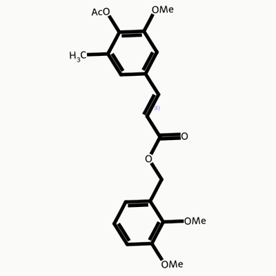 COc1cc(/C=C/C(=O)OCc2cccc(OC)c2OC)cc(C)c1OC(C)=O